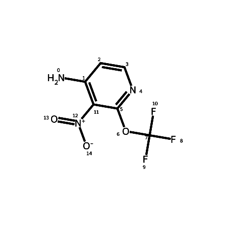 Nc1ccnc(OC(F)(F)F)c1[N+](=O)[O-]